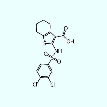 O=C(O)c1c(NS(=O)(=O)c2ccc(Cl)c(Cl)c2)sc2c1CCCC2